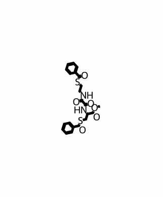 COC(=O)C(CSC(=O)c1ccccc1)NC(=O)C(=O)NCCSC(=O)c1ccccc1